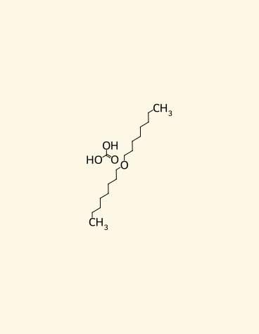 CCCCCCCCOCCCCCCCC.O=C(O)O